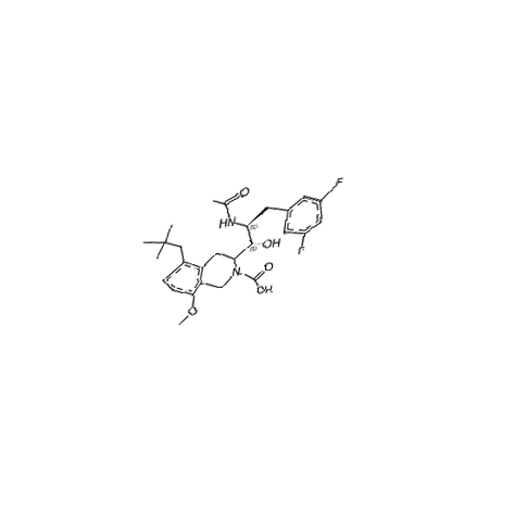 COc1ccc(CC(C)(C)C)c2c1CN(C(=O)O)C([C@@H](O)[C@H](Cc1cc(F)cc(F)c1)NC(C)=O)C2